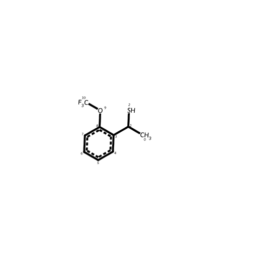 CC(S)c1ccccc1OC(F)(F)F